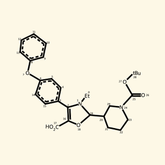 CCN1C(c2ccc(Oc3ccccc3)cc2)=C(C(=O)O)OC1C1CCCN(C(=O)OC(C)(C)C)C1